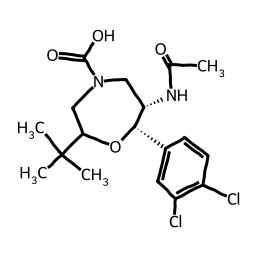 CC(=O)N[C@H]1CN(C(=O)O)CC(C(C)(C)C)O[C@H]1c1ccc(Cl)c(Cl)c1